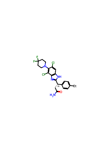 CCc1ccc([C@H](CC(N)=O)c2nc3c(Cl)c(N4CCC(F)(F)CC4)c(Cl)cc3[nH]2)cc1